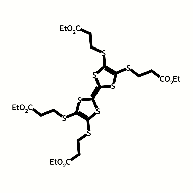 CCOC(=O)CCSC1=C(SCCC(=O)OCC)SC(=C2SC(SCCC(=O)OCC)=C(SCCC(=O)OCC)S2)S1